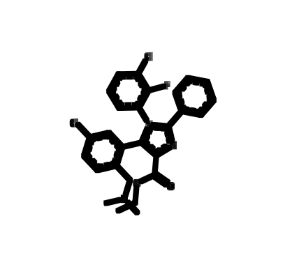 CCOC(=O)c1nc(-c2ccccc2)n(-c2cccc(Cl)c2F)c1-c1cc(Cl)ccc1CN(C)C